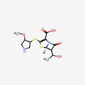 COC1CNCC1SC1=C(C(=O)O)N2C(=O)C(C(C)O)[C@H]2S1